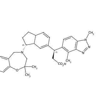 Cc1c([C@@H](CC(=O)O)C2=CC3C(C=C2)CC[C@H]3N2Cc3ccccc3OC(C)(C)C2)ccc2c1nnn2C